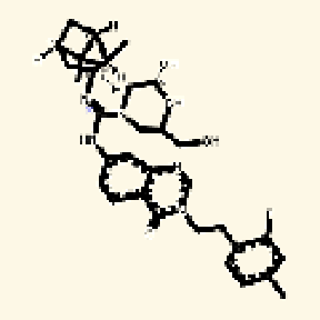 Cc1ccc(CCn2cnc3cc(N/C(=N/[C@H]4C[C@@H]5C[C@H]([C@@H]4C)C5(C)C)N4CC(CO)N[C@@H](O)C4)ccc3c2=O)c(F)c1